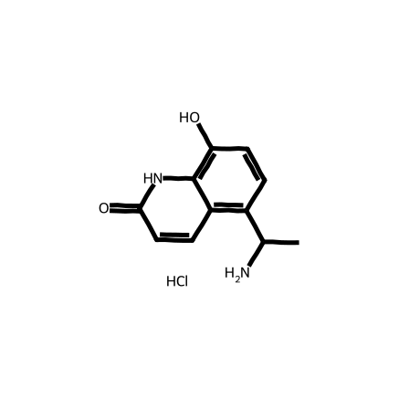 CC(N)c1ccc(O)c2[nH]c(=O)ccc12.Cl